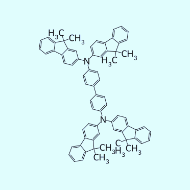 CC1(C)c2ccccc2-c2ccc(N(c3ccc(-c4ccc(N(c5ccc6c(c5)C(C)(C)c5ccccc5-6)c5ccc6c(c5)C(C)(C)c5ccccc5-6)cc4)cc3)c3ccc4c(c3)C(C)(C)c3ccccc3-4)cc21